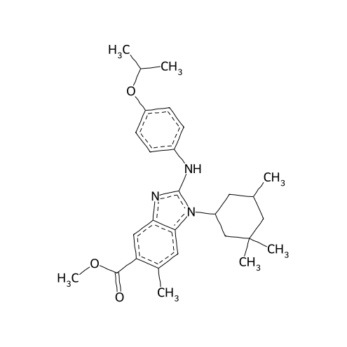 COC(=O)c1cc2nc(Nc3ccc(OC(C)C)cc3)n(C3CC(C)CC(C)(C)C3)c2cc1C